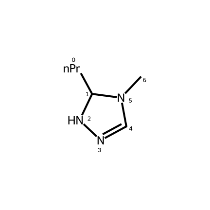 CCCC1NN=CN1C